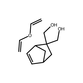 C=COC=C.OCC1(CO)CC2C=CC1C2